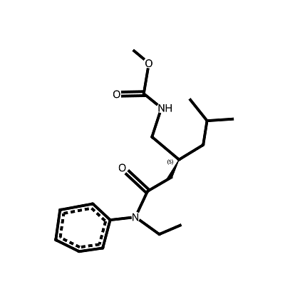 CCN(C(=O)C[C@@H](CNC(=O)OC)CC(C)C)c1ccccc1